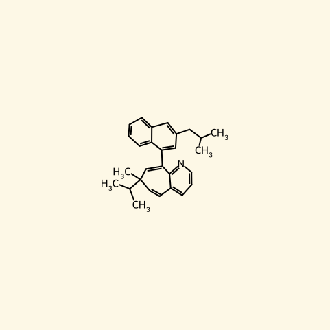 CC(C)Cc1cc(C2=CC(C)(C(C)C)C=Cc3cccnc32)c2ccccc2c1